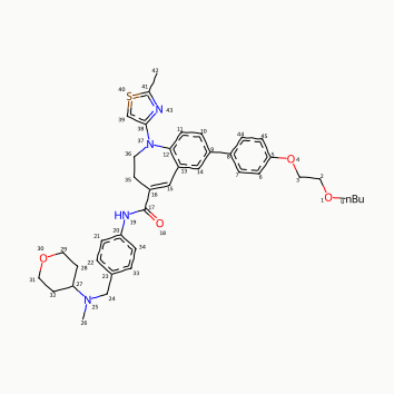 CCCCOCCOc1ccc(-c2ccc3c(c2)C=C(C(=O)Nc2ccc(CN(C)C4CCOCC4)cc2)CCN3c2csc(C)n2)cc1